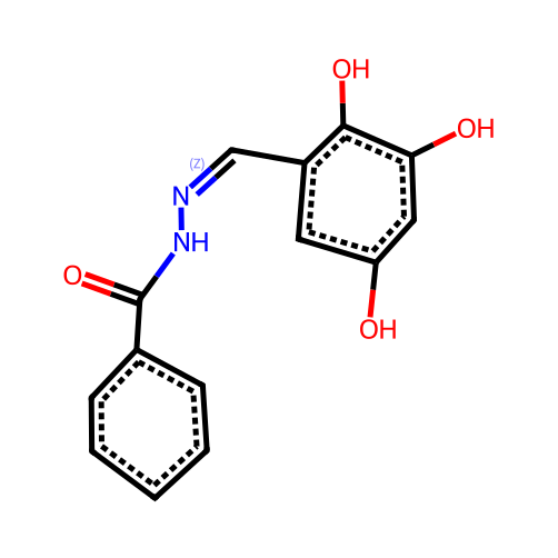 O=C(N/N=C\c1cc(O)cc(O)c1O)c1ccccc1